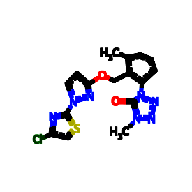 Cc1cccc(-n2nnn(C)c2=O)c1COc1ccn(-c2nc(Cl)cs2)n1